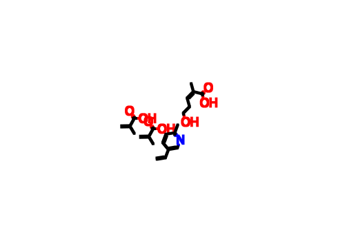 C=C(C)C(=O)O.C=C(C)C(=O)O.C=Cc1ccc(C)nc1.CC(=CCCO)C(=O)O